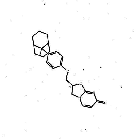 CC1(c2ccc(OC[C@@H]3Cn4ccc(=O)nc4O3)cc2)C2CCCC1CCC2